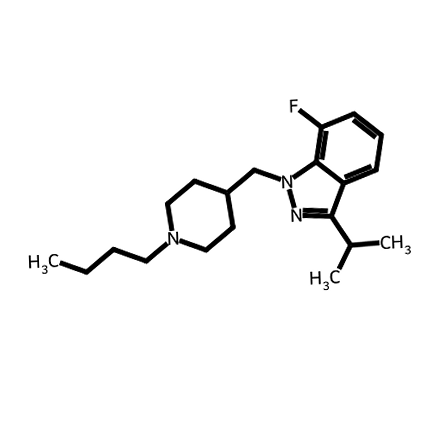 CCCCN1CCC(Cn2nc(C(C)C)c3cccc(F)c32)CC1